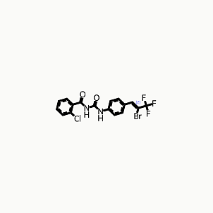 O=C(NC(=O)c1ccccc1Cl)Nc1ccc(/C=C(\Br)C(F)(F)F)cc1